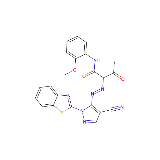 COc1ccccc1NC(=O)C(N=Nc1c(C#N)cnn1-c1nc2ccccc2s1)C(C)=O